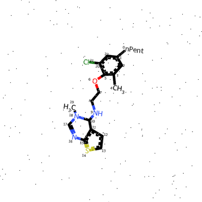 CCCCCc1cc(C)c(OCCNC2c3ccsc3N=CN2C)c(Cl)c1